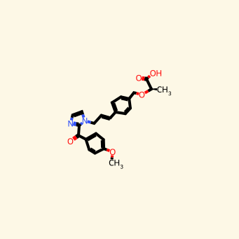 COc1ccc(C(=O)c2nccn2C/C=C/c2ccc(CO[C@H](C)C(=O)O)cc2)cc1